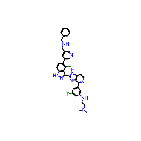 CN(C)CCNc1cc(F)cc(-c2nccc3[nH]c(-c4n[nH]c5ccc(-c6cncc(CNCc7ccccc7)c6)c(F)c45)nc23)c1